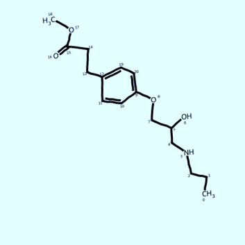 CCCNCC(O)COc1ccc(CCC(=O)OC)cc1